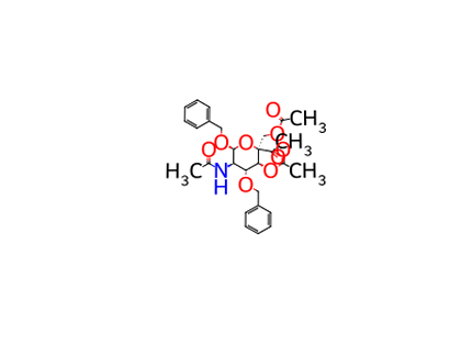 CC(=O)N[C@H]1[C@@H](OCc2ccccc2)O[C@@](COC(C)=O)(C(C)=O)[C@@H](OC(C)=O)[C@@H]1OCc1ccccc1